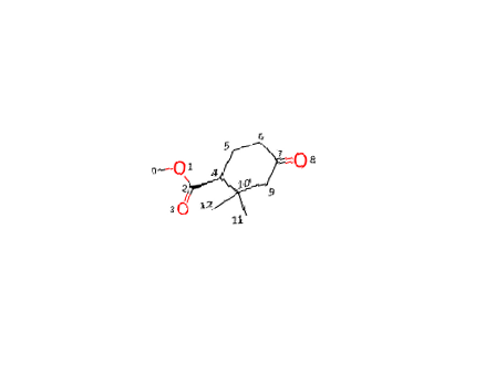 COC(=O)[C@H]1CCC(=O)CC1(C)C